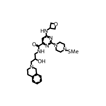 CSN1CCN(c2nc(NC3COC3)cc(C(=O)NCC(O)CN3CCc4ccccc4C3)n2)CC1